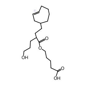 O=C(O)CCCCOC(=O)C(CCCO)CCC1C/C=C/CCCC1